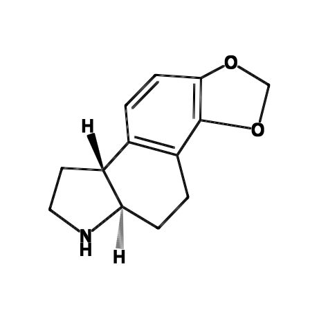 c1cc2c(c3c1OCO3)CC[C@H]1NCC[C@H]21